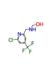 OCNCc1cc(C(F)(F)F)cc(Cl)n1